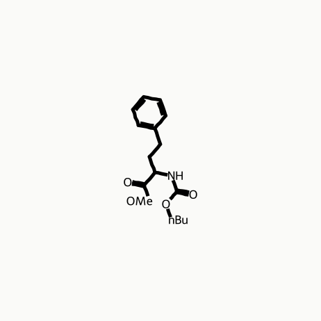 CCCCOC(=O)NC(CCc1ccccc1)C(=O)OC